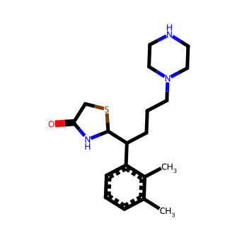 Cc1cccc(C(CCCN2CCNCC2)C2NC(=O)CS2)c1C